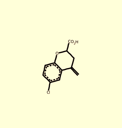 C=C1CC(C(=O)O)Oc2ccc(Cl)cc21